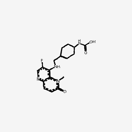 Cn1c(=O)ccc2ncc(F)c(NCC3CCC(NC(=O)O)CC3)c21